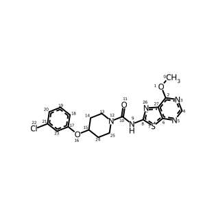 COc1ncnc2sc(NC(=O)N3CCC(Oc4cccc(Cl)c4)CC3)nc12